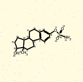 CC12CCC3c4ccc(OS(N)(=O)=O)cc4CCC3C1CCC2O